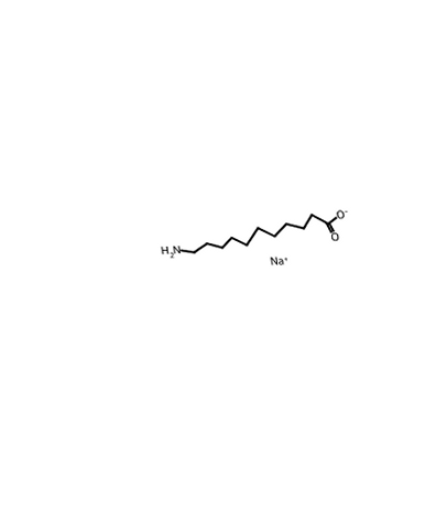 NCCCCCCCCCCC(=O)[O-].[Na+]